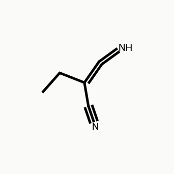 CCC(=C=N)C#N